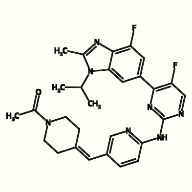 CC(=O)N1CCC(=Cc2ccc(Nc3ncc(F)c(-c4cc(F)c5nc(C)n(C(C)C)c5c4)n3)nc2)CC1